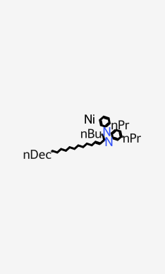 CCCCCCCCCCCCCCCCCCCCC=CC(=Nc1cc(CCC)cc(CCC)c1)C(CCCC)=Nc1ccccc1.[Ni]